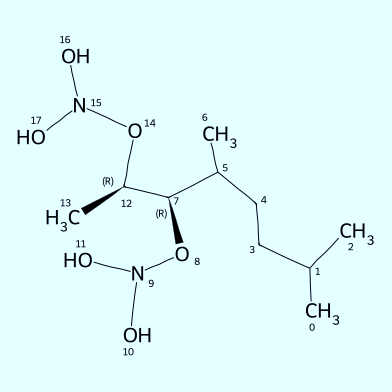 CC(C)CCC(C)[C@@H](ON(O)O)[C@@H](C)ON(O)O